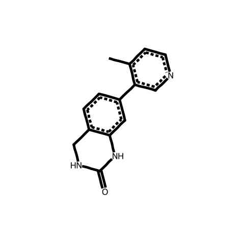 Cc1ccncc1-c1ccc2c(c1)NC(=O)NC2